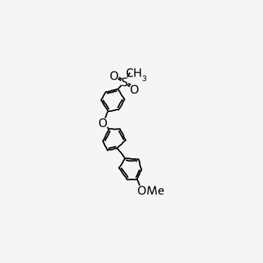 COc1ccc(-c2ccc(Oc3ccc(S(C)(=O)=O)cc3)cc2)cc1